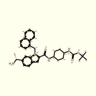 C[C@@H](N)c1ccc2cc(C(=O)NC3CCC(NC(=O)OC(C)(C)C)CC3)n(Cc3cccc4ccccc34)c2c1